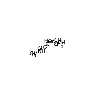 C#CC(C)(C)NCC(O)COc1ccc(CC(=O)NCCC[N+](=O)[O-])cc1